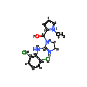 Cn1cccc1C(=O)N1CCN=C1Nc1c(Cl)cccc1Cl